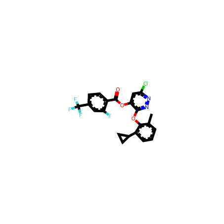 Cc1cccc(C2CC2)c1Oc1nnc(Cl)cc1OC(=O)c1ccc(C(F)(F)F)cc1F